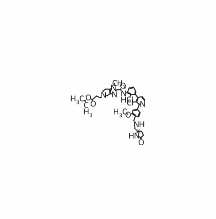 COc1cc(-c2nccc(-c3cccc(NC(=O)c4nc5c(n4C)CCN(CCC(=O)OC(C)C)C5)c3Cl)c2Cl)ccc1CNC[C@H]1CCC(=O)N1